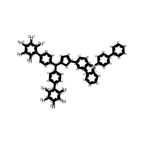 [2H]c1c([2H])c([2H])c(-c2ccc(C(C3=CC=C(c4ccc5c(c4)c4ccccc4n5-c4ccc(-c5ccccc5)cc4)C3)c3ccc(-c4c([2H])c([2H])c([2H])c([2H])c4[2H])cc3)cc2)c([2H])c1[2H]